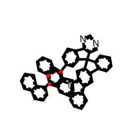 c1ccc(-n2c3ccccc3c3cc4c(cc32)C2(c3ccccc3-4)c3cc(-c4c5ccccc5c(-c5cccc6ccccc56)c5ccccc45)ccc3-c3ncncc32)cc1